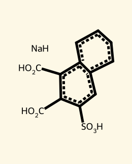 O=C(O)c1c(S(=O)(=O)O)cc2ccccc2c1C(=O)O.[NaH]